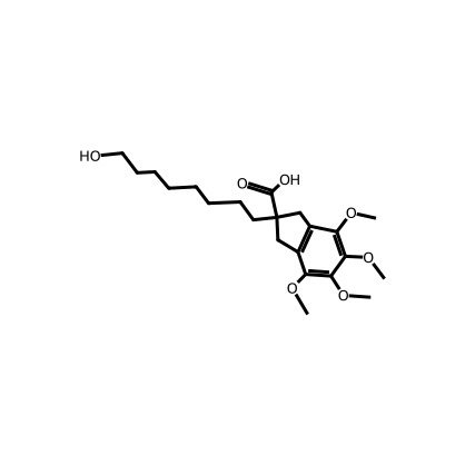 COc1c2c(c(OC)c(OC)c1OC)CC(CCCCCCCCO)(C(=O)O)C2